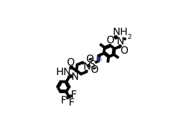 Cc1cc(C(=O)N(C)C(N)=O)c(C)c(C)c1/C=C/S(=O)(=O)N1CCC2(CC1)N=C(c1cccc(C(F)(F)F)c1)NC2=O